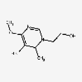 [CH2]C1C(C)=C(OC)N=CN1CCO